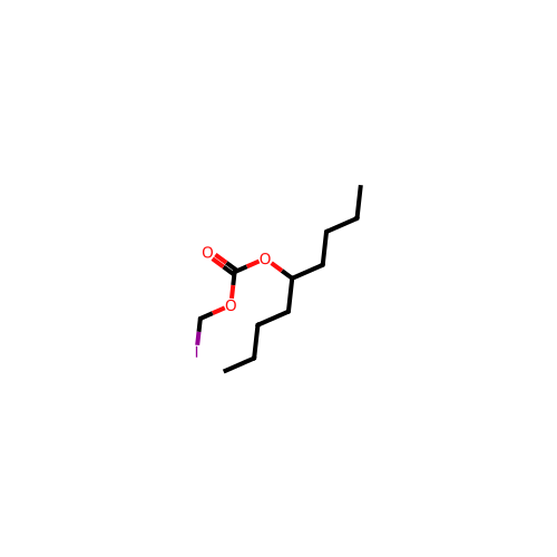 CCCCC(CCCC)OC(=O)OCI